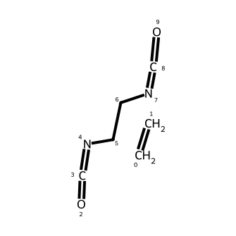 C=C.O=C=NCCN=C=O